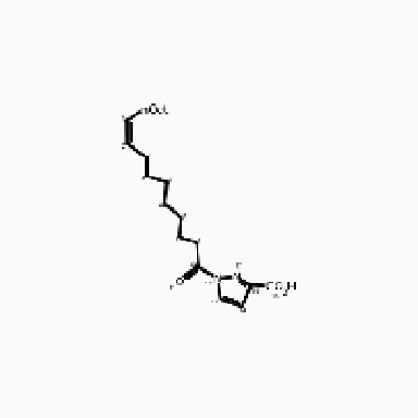 CCCCCCCC/C=C\CCCCCCCC(=O)n1ccc(C(=O)O)n1